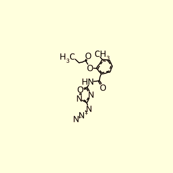 CCC(=O)Oc1c(C)cccc1C(=O)Nc1nc(N=[N+]=[N-])no1